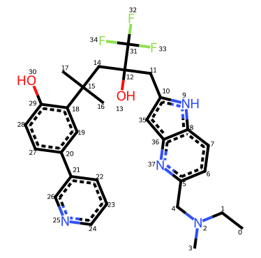 CCN(C)Cc1ccc2[nH]c(CC(O)(CC(C)(C)c3cc(-c4cccnc4)ccc3O)C(F)(F)F)cc2n1